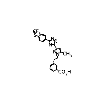 Cc1cc(-c2nc(-c3ccc(SC(F)(F)F)cc3)no2)nn1CCc1cccc(C(=O)O)c1